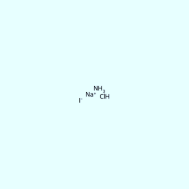 Cl.N.[I-].[Na+]